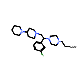 COCCN1CCN(C(CN2CCC(N3CCCCC3)CC2)c2cccc(Cl)c2)CC1